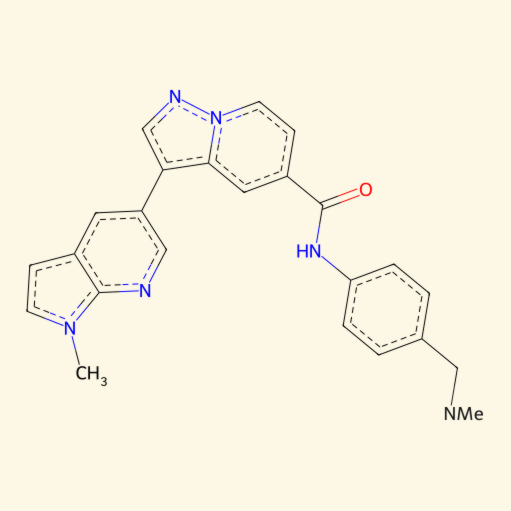 CNCc1ccc(NC(=O)c2ccn3ncc(-c4cnc5c(ccn5C)c4)c3c2)cc1